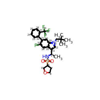 C[C@@H](NS(=O)(=O)C1CCOC1)c1cn(CC(C)(C)C)c2cc(-c3ccccc3C(F)(F)F)c(F)cc12